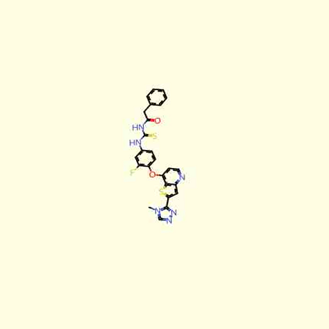 Cn1cnnc1-c1cc2nccc(Oc3ccc(NC(=S)NC(=O)Cc4ccccc4)cc3F)c2s1